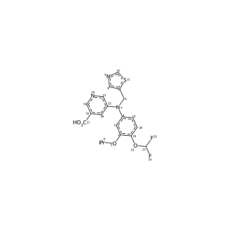 CC(C)Oc1cc(N(Cc2cncs2)c2cncc(C(=O)O)c2)ccc1OC(F)F